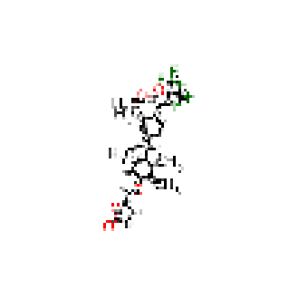 CCC(CC)(c1ccc(/C=C/C(OCOC)(C(F)(F)F)C(F)(F)F)c(C)c1)c1ccc(OC[C@H]2CCC(=O)O2)c(C)c1